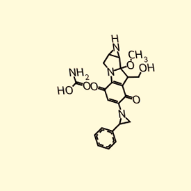 COC12C(CO)C3=C(C(=O)C=C(N4CC4c4ccccc4)C3=O)N1CC1NC12.NC(=O)O